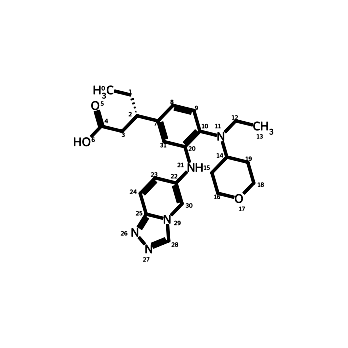 CC[C@@H](CC(=O)O)c1ccc(N(CC)C2CCOCC2)c(Nc2ccc3nncn3c2)c1